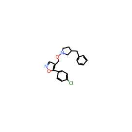 Clc1ccc(-c2oncc2CON2CCC(Cc3ccccc3)C2)cc1